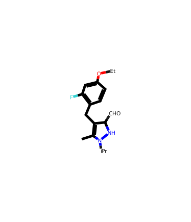 CCOc1ccc(CC2=C(C)N(C(C)C)NC2C=O)c(F)c1